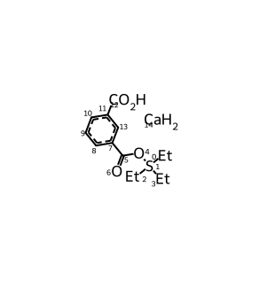 CCS(CC)(CC)OC(=O)c1cccc(C(=O)O)c1.[CaH2]